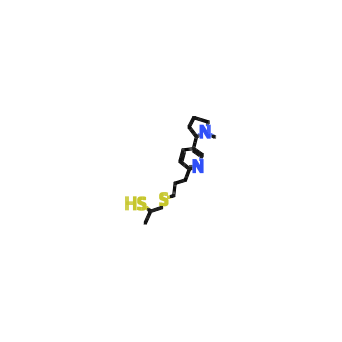 CC(S)CSCCCc1ccc(C2CCCN2C)cn1